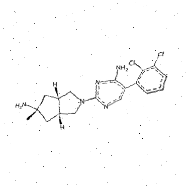 C[C@]1(N)C[C@H]2CN(c3ncc(-c4cccc(Cl)c4Cl)c(N)n3)C[C@H]2C1